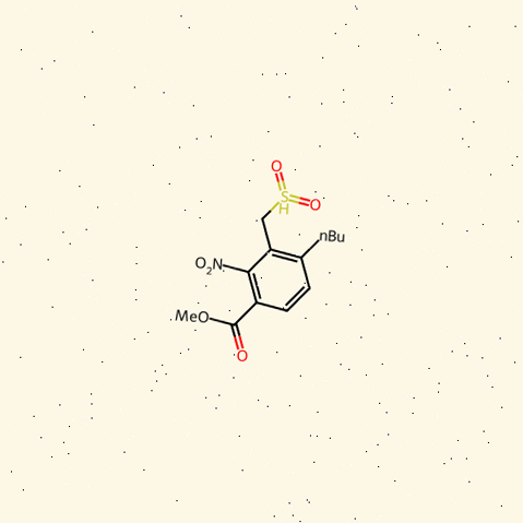 CCCCc1ccc(C(=O)OC)c([N+](=O)[O-])c1C[SH](=O)=O